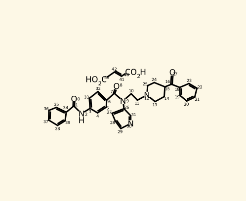 O=C(Nc1ccc(C(=O)N(CCN2CCC(C(=O)c3ccccc3)CC2)c2cccnc2)cc1)c1ccccc1.O=C(O)C=CC(=O)O